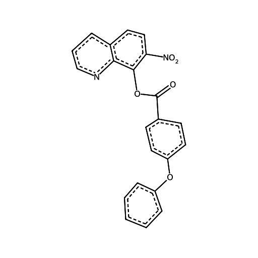 O=C(Oc1c([N+](=O)[O-])ccc2cccnc12)c1ccc(Oc2ccccc2)cc1